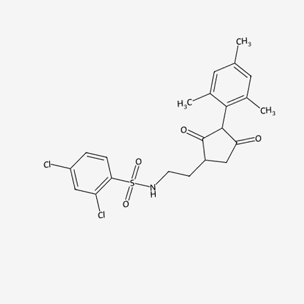 Cc1cc(C)c(C2C(=O)CC(CCNS(=O)(=O)c3ccc(Cl)cc3Cl)C2=O)c(C)c1